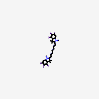 CN1\C(=C/C=C/C=C/C=C/C2=[N+](C)c3cc(I)c(I)c(I)c3C2(C)C)C(C)(C)c2c1cc(I)c(I)c2I